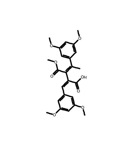 COC(=O)C(C(=Cc1cc(OC)cc(OC)c1)C(=O)O)=C(C)c1cc(OC)cc(OC)c1